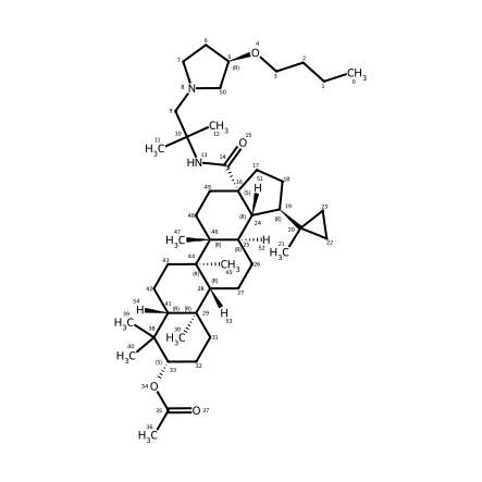 CCCCO[C@@H]1CCN(CC(C)(C)NC(=O)[C@]23CC[C@@H](C4(C)CC4)[C@@H]2[C@H]2CC[C@@H]4[C@@]5(C)CC[C@H](OC(C)=O)C(C)(C)[C@@H]5CC[C@@]4(C)[C@]2(C)CC3)C1